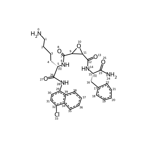 NCCCC[C@H](NC(=O)C1OC1C(=O)N[C@@H](Cc1ccccc1)C(N)=O)C(=O)Nc1ccc(Cl)c2ccccc12